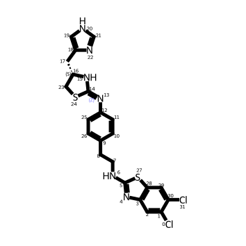 Clc1cc2nc(NCCc3ccc(/N=C4/N[C@@H](Cc5c[nH]cn5)CS4)cc3)sc2cc1Cl